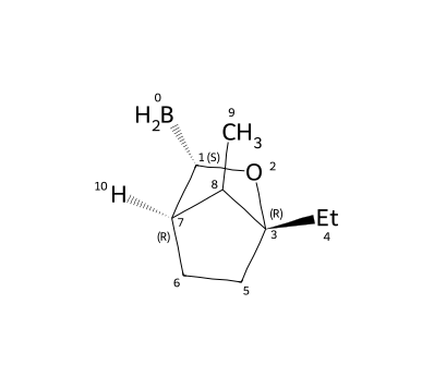 B[C@@H]1O[C@]2(CC)CC[C@@H]1C2C